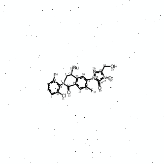 CCC(C)[C@@H]1CN(c2c(F)cccc2Cl)C(=O)c2cc(F)c(-n3nc(CO)n(CC)c3=O)cc21